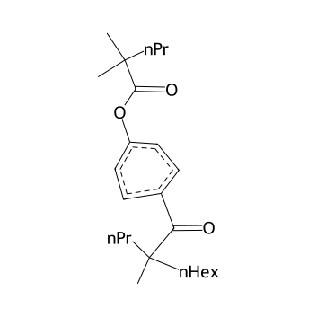 CCCCCCC(C)(CCC)C(=O)c1ccc(OC(=O)C(C)(C)CCC)cc1